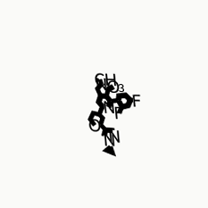 CN1Cc2cc(C3CCOC(c4cnn(C5CC5)c4)C3)nc(-c3ccc(F)cc3F)c2C1=O